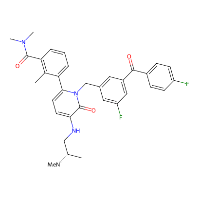 CN[C@@H](C)CNc1ccc(-c2cccc(C(=O)N(C)C)c2C)n(Cc2cc(F)cc(C(=O)c3ccc(F)cc3)c2)c1=O